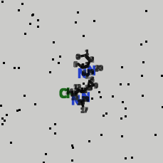 C/C=C\c1c(C)nc([C@@H]2C[C@H]2c2cc(Cl)nc(C)n2)n1C